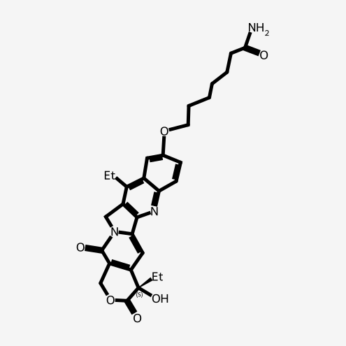 CCc1c2c(nc3ccc(OCCCCCCC(N)=O)cc13)-c1cc3c(c(=O)n1C2)COC(=O)[C@]3(O)CC